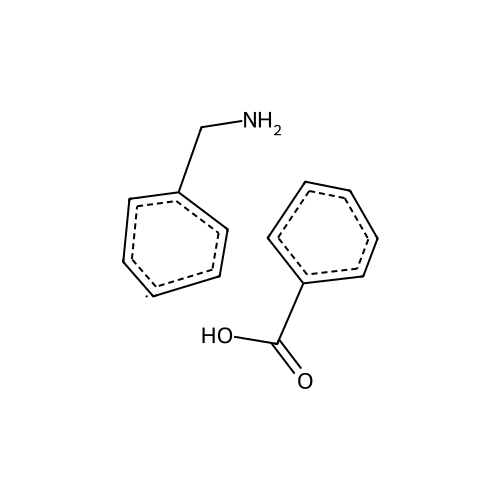 NCc1cc[c]cc1.O=C(O)c1ccccc1